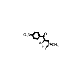 CC(=O)/C(=C\N(C)C)C(=O)c1ccc([N+](=O)[O-])cc1